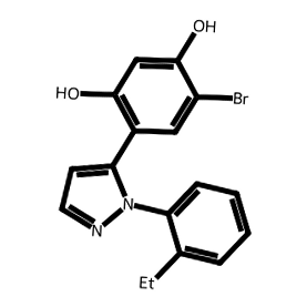 CCc1ccccc1-n1nccc1-c1cc(Br)c(O)cc1O